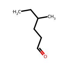 [CH2]CC(C)CCC=O